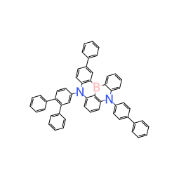 c1ccc(-c2ccc(N3c4ccccc4B4c5cc(-c6ccccc6)ccc5N(c5ccc(-c6ccccc6)c(-c6ccccc6)c5)c5cccc3c54)cc2)cc1